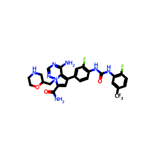 NC(=O)C1=CC(c2ccc(NC(=O)Nc3cc(C(F)(F)F)ccc3F)c(F)c2)=C2C(N)=NC=N[N+]12CC1CNCCO1